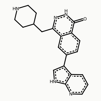 O=c1[nH]nc(CC2CCNCC2)c2cc(-c3c[nH]c4ncccc34)ccc12